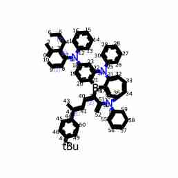 C=C(C)C(/C=C\C)=C(\C=C/C)N(c1ccccc1)c1ccc2c(c1)N(c1ccccc1)C1=CC=CC3C=C1B2/C(=C/C=C(\C)c1ccc(C(C)(C)C)cc1)C(=C)N3C1=CC=CCC1